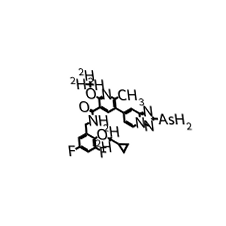 [2H]C([2H])([2H])Oc1nc(C)c(-c2ccn3nc([AsH2])nc3c2)cc1C(=O)NCc1cc(F)cc(F)c1OC([2H])([2H])C1CC1